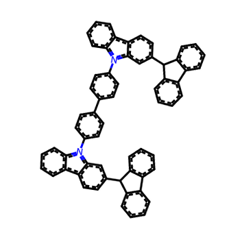 c1ccc2c(c1)-c1ccccc1C2c1ccc2c3ccccc3n(-c3ccc(-c4ccc(-n5c6ccccc6c6ccc(C7c8ccccc8-c8ccccc87)cc65)cc4)cc3)c2c1